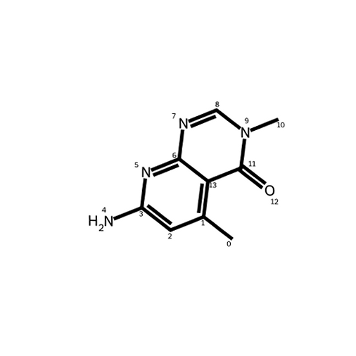 Cc1cc(N)nc2ncn(C)c(=O)c12